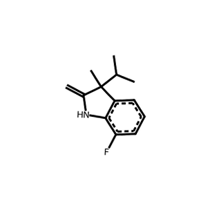 C=C1Nc2c(F)cccc2C1(C)C(C)C